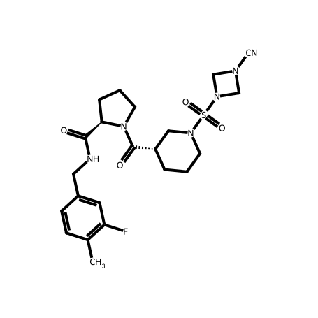 Cc1ccc(CNC(=O)[C@H]2CCCN2C(=O)[C@H]2CCCN(S(=O)(=O)N3CN(C#N)C3)C2)cc1F